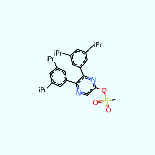 CC(C)c1cc(-c2ncc(OS(C)(=O)=O)nc2-c2cc(C(C)C)cc(C(C)C)c2)cc(C(C)C)c1